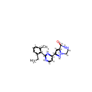 CCc1cccc(C)c1-c1nccc(-c2cc3n(n2)CCNC3=O)n1